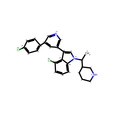 CC(C1CCCNC1)n1cc(-c2cncc(-c3ccc(Cl)cc3)c2)c2c(Cl)cccc21